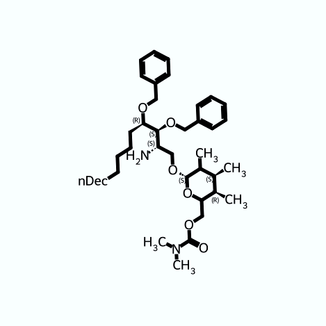 CCCCCCCCCCCCCC[C@@H](OCc1ccccc1)[C@@H](OCc1ccccc1)[C@@H](N)CO[C@H]1OC(COC(=O)N(C)C)[C@H](C)[C@H](C)C1C